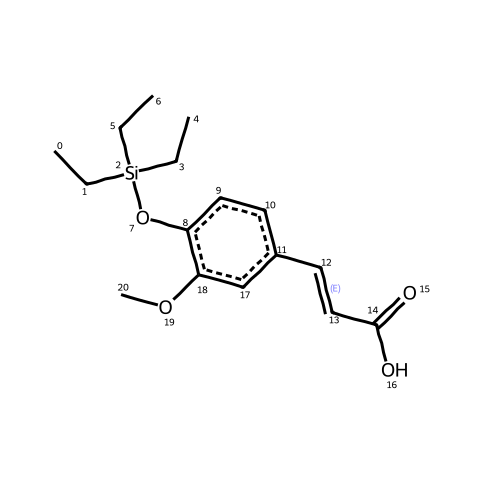 CC[Si](CC)(CC)Oc1ccc(/C=C/C(=O)O)cc1OC